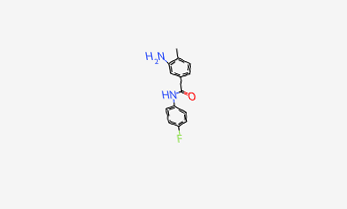 Cc1ccc(C(=O)Nc2ccc(F)cc2)cc1N